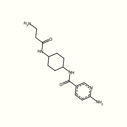 NCCC(=O)NC1CCC(NC(=O)c2ccc(N)nc2)CC1